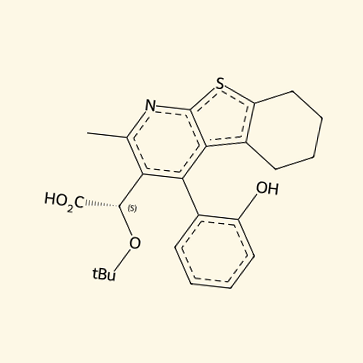 Cc1nc2sc3c(c2c(-c2ccccc2O)c1[C@H](OC(C)(C)C)C(=O)O)CCCC3